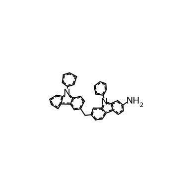 Nc1ccc2c3ccc(Cc4ccc5c(c4)c4ccccc4n5-c4ccccc4)cc3n(-c3ccccc3)c2c1